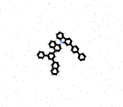 c1ccc(-c2ccc(-c3ccc4c5ccccc5n(-c5ccc(-c6cc(-c7ccccc7)cc(-c7ccc8ccccc8c7)c6)c6ccccc56)c4c3)cc2)cc1